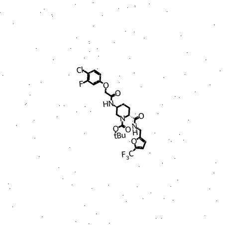 CC(C)(C)OC(=O)N1C[C@@H](NC(=O)COc2ccc(Cl)c(F)c2)CC[C@@H]1C(=O)NCc1ccc(C(F)(F)F)o1